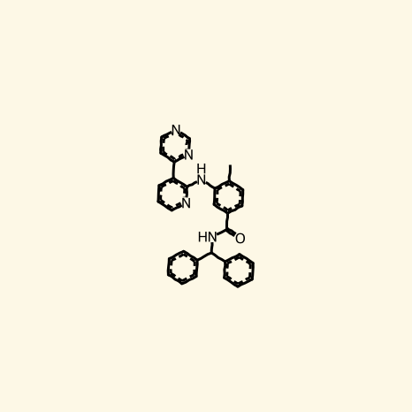 Cc1ccc(C(=O)NC(c2ccccc2)c2ccccc2)cc1Nc1ncccc1-c1ccncn1